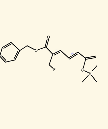 C=C(/C=C/C=C(\CF)C(=O)OCc1ccccc1)O[Si](C)(C)C